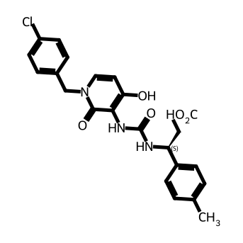 Cc1ccc([C@H](CC(=O)O)NC(=O)Nc2c(O)ccn(Cc3ccc(Cl)cc3)c2=O)cc1